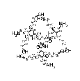 C#CCCCCCc1cc(C(=O)NC2CC(NC(=O)c3cc(OCCCCC#C)c(CCCN)c(OCCCCC#C)c3)C[C@@H](NC(=O)c3cc(OCCCCC#C)c(CCCN)c(OCCCCC#C)c3)C2)cc(OCCCCC#C)c1CCCN